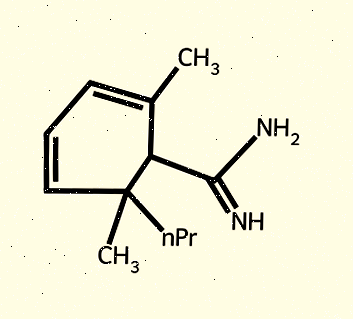 CCCC1(C)C=CC=C(C)C1C(=N)N